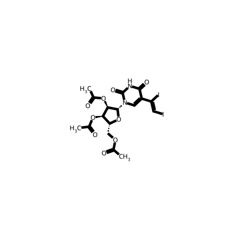 CC(=O)OC[C@H]1O[C@@H](n2cc(C(I)=CI)c(=O)[nH]c2=O)[C@H](OC(C)=O)[C@@H]1OC(C)=O